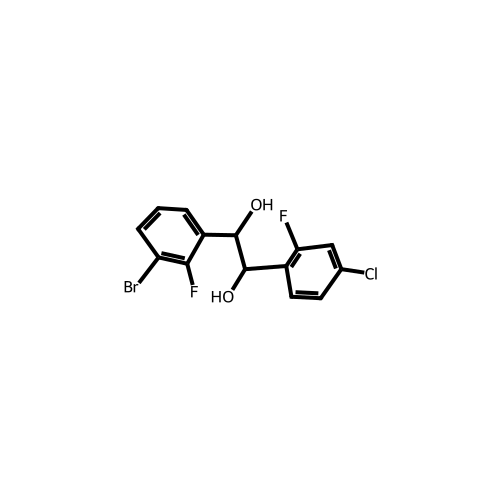 OC(c1ccc(Cl)cc1F)C(O)c1cccc(Br)c1F